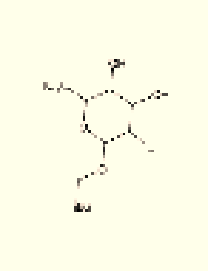 CCC(C)COC1OC(C(=O)O)C(O)C(O)C1O